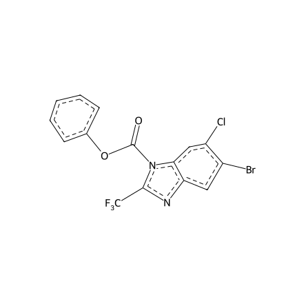 O=C(Oc1ccccc1)n1c(C(F)(F)F)nc2cc(Br)c(Cl)cc21